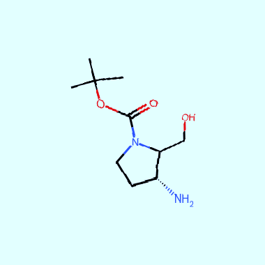 CC(C)(C)OC(=O)N1CC[C@@H](N)C1CO